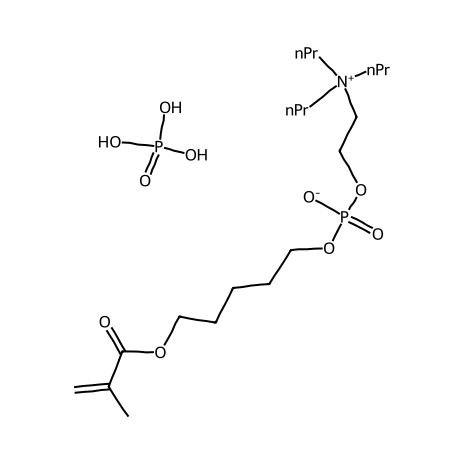 C=C(C)C(=O)OCCCCCOP(=O)([O-])OCC[N+](CCC)(CCC)CCC.O=P(O)(O)O